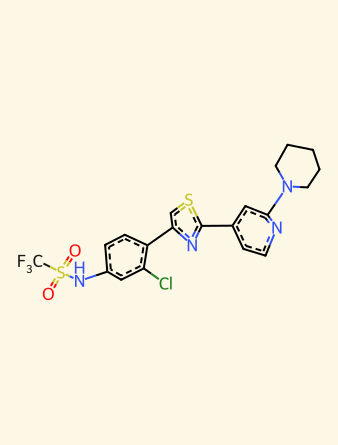 O=S(=O)(Nc1ccc(-c2csc(-c3ccnc(N4CCCCC4)c3)n2)c(Cl)c1)C(F)(F)F